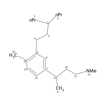 CCCC(CCC)CCc1cc(C(C)CCNC)ccc1C